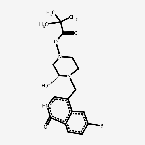 C[C@@H]1CN(OC(=O)C(C)(C)C)CCN1Cc1c[nH]c(=O)c2ccc(Br)cc12